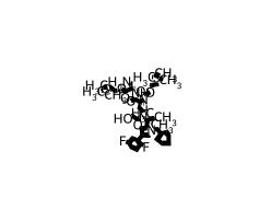 CC(C)(C)[C@H](c1cc(-c2cc(F)ccc2F)cn1Cc1ccccc1)N(CC[C@H](NC(=O)OCCS(C)(C)C)C(=O)N[C@H](CN)C(=O)OCCS(C)(C)C)C(=O)CO